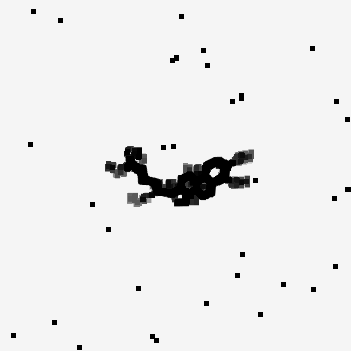 CC(C)CCC[C@@H](C)[C@H]1CC[C@H]2[C@@H]3CC=C4[C@H](O)[C@H](O)CC[C@]4(C)[C@H]3CC[C@]12C